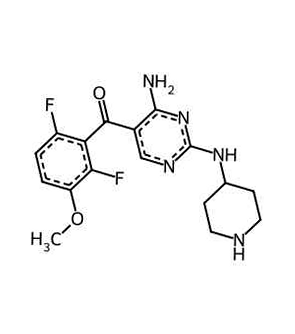 COc1ccc(F)c(C(=O)c2cnc(NC3CCNCC3)nc2N)c1F